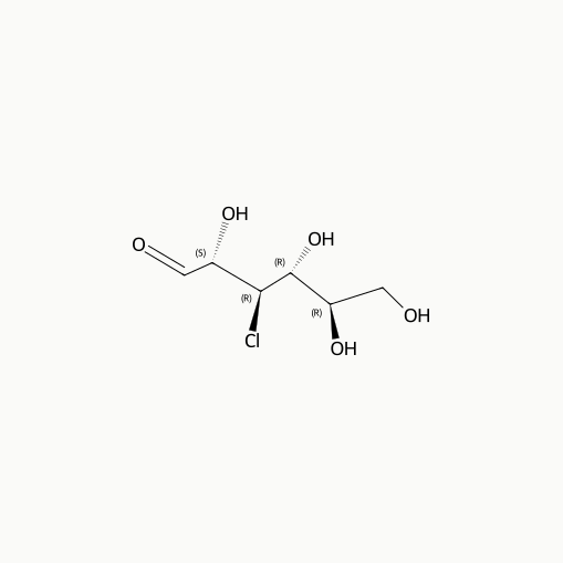 O=C[C@H](O)[C@H](Cl)[C@H](O)[C@H](O)CO